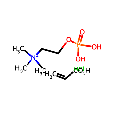 C=CC(=O)O.C[N+](C)(C)CCOP(=O)(O)O.Cl